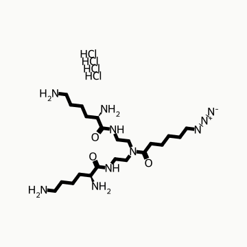 Cl.Cl.Cl.Cl.[N-]=[N+]=NCCCCCC(=O)N(CCNC(=O)[C@@H](N)CCCCN)CCNC(=O)[C@@H](N)CCCCN